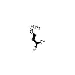 NO/C=C/C(F)F